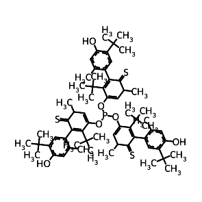 Cc1cc(O)c(C(C)(C)C)cc1C1=C(C(C)(C)C)C(OP(OC2=CC(C)C(=S)C(c3cc(C(C)(C)C)c(O)cc3C)=C2C(C)(C)C)OC2=CC(C)C(=S)C(c3cc(C(C)(C)C)c(O)cc3C)=C2C(C)(C)C)=CC(C)C1=S